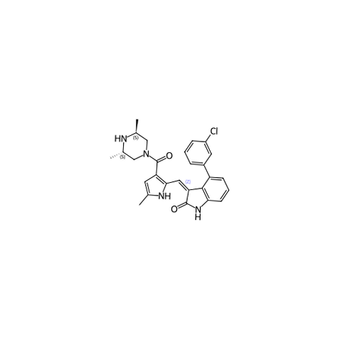 Cc1cc(C(=O)N2C[C@H](C)N[C@@H](C)C2)c(/C=C2\C(=O)Nc3cccc(-c4cccc(Cl)c4)c32)[nH]1